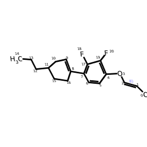 C/C=C/Oc1ccc(C2=CCC(CCC)CC2)c(F)c1F